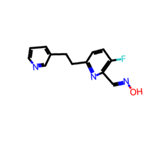 O/N=C/c1nc(CCc2cccnc2)ccc1F